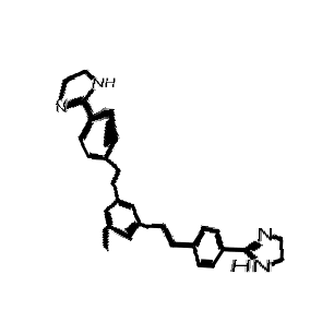 Cc1cc(CCc2ccc(C3=NCCN3)cc2)cc(CCc2ccc(C3=NCCN3)cc2)c1